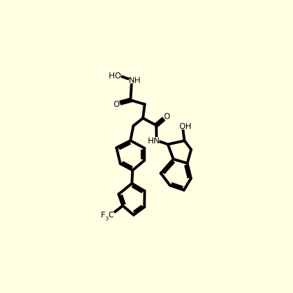 O=C(CC(Cc1ccc(-c2cccc(C(F)(F)F)c2)cc1)C(=O)NC1c2ccccc2CC1O)NO